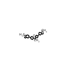 CN1C=CC2=CC(c3ccc4c(c3)Oc3cc(-c5ccc6c(ccn6C)c5)ccc3N4C)=CC=C1C2